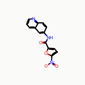 O=C(Nc1ccc2ncccc2c1)c1ccc([N+](=O)[O-])o1